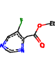 CCOC(=O)c1ncncc1F